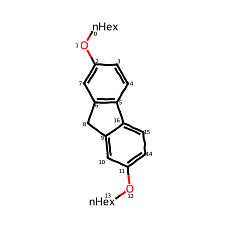 CCCCCCOc1ccc2c(c1)Cc1cc(OCCCCCC)ccc1-2